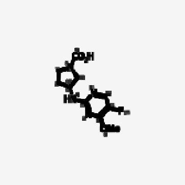 COc1nc(N[C@@H]2CCN(C(=O)O)C2)ncc1F